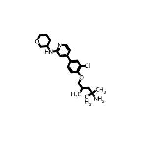 CC(COc1ccc(-c2ccnc(NC3CCCOC3)c2)cc1Cl)CC(C)(C)N